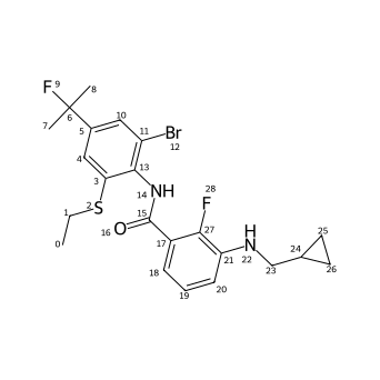 CCSc1cc(C(C)(C)F)cc(Br)c1NC(=O)c1cccc(NCC2CC2)c1F